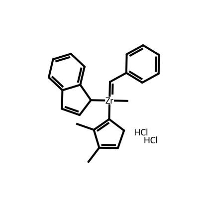 CC1=CC[C]([Zr]([CH3])(=[CH]c2ccccc2)[CH]2C=Cc3ccccc32)=C1C.Cl.Cl